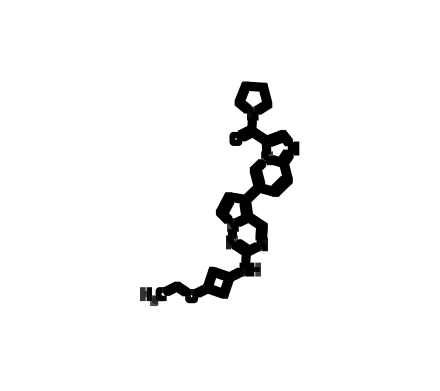 CCOC1CC(Nc2ncc3c(-c4ccc5ncc(C(=O)N6CCCC6)n5c4)ccn3n2)C1